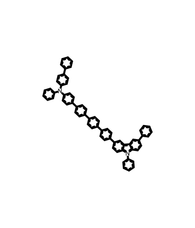 c1ccc(-c2ccc(N(c3ccccc3)c3ccc(-c4ccc(-c5ccc(-c6ccc(-c7ccc8c(c7)c7cc(-c9ccccc9)ccc7n8-c7ccccc7)cc6)cc5)cc4)cc3)cc2)cc1